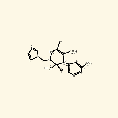 [CH2]CC1(C(=O)O)C(Cn2ccnc2)NC(C)=C(C(=O)O)[C@H]1c1cccc([N+](=O)[O-])c1